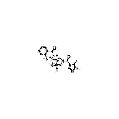 Cc1c(C(=O)N2C[C@H]3CC[C@]4(NC(=O)c5ccccc5N4)[C@H]3C2)cnn1C